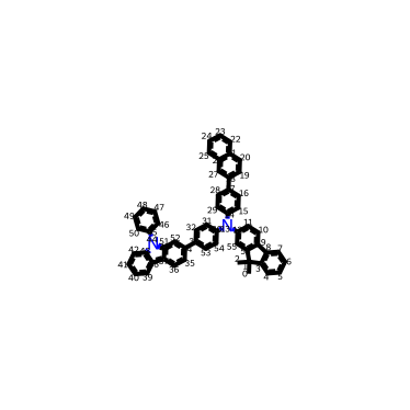 CC1(C)c2ccccc2-c2ccc(N(c3ccc(-c4ccc5ccccc5c4)cc3)c3ccc(-c4ccc5c6ccccc6n(-c6ccccc6)c5c4)cc3)cc21